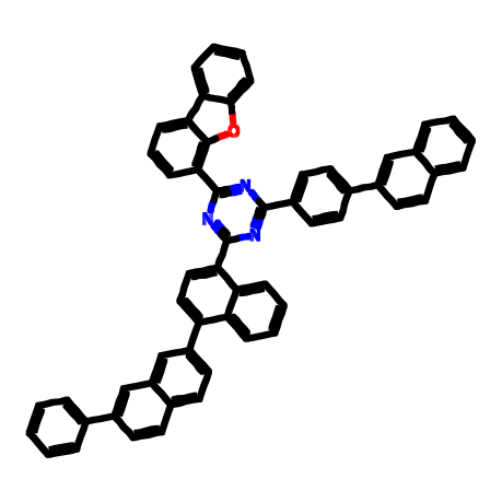 c1ccc(-c2ccc3ccc(-c4ccc(-c5nc(-c6ccc(-c7ccc8ccccc8c7)cc6)nc(-c6cccc7c6oc6ccccc67)n5)c5ccccc45)cc3c2)cc1